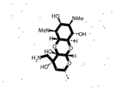 CN[C@@H]1[C@H](O)[C@H](NC)[C@H]2O[C@]3(O)[C@H](O[C@@H]2[C@H]1O)O[C@H](C)C[C@@]3(O)CN